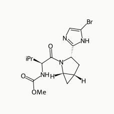 COC(=O)N[C@H](C(=O)N1[C@H](c2ncc(Br)[nH]2)C[C@@H]2C[C@@H]21)C(C)C